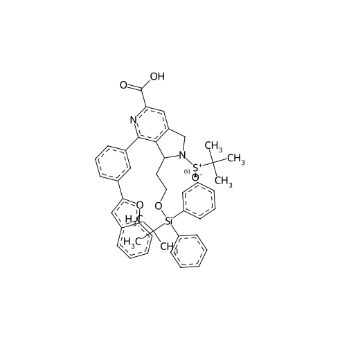 CC(C)(C)[S@@+]([O-])N1Cc2cc(C(=O)O)nc(-c3cccc(-c4cc5ccccc5o4)c3)c2C1CCO[Si](c1ccccc1)(c1ccccc1)C(C)(C)C